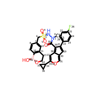 CN(NS(=O)(=O)Cc1ccc2c(c1)CCOB2O)C(=O)c1c(-c2ccc(F)cc2)cc2coc(C3CC3)cc1-2